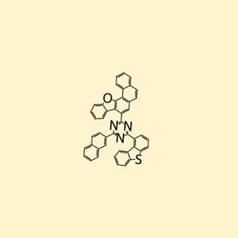 c1ccc2cc(-c3nc(-c4cccc5sc6ccccc6c45)nc(-c4cc5ccc6ccccc6c5c5oc6ccccc6c45)n3)ccc2c1